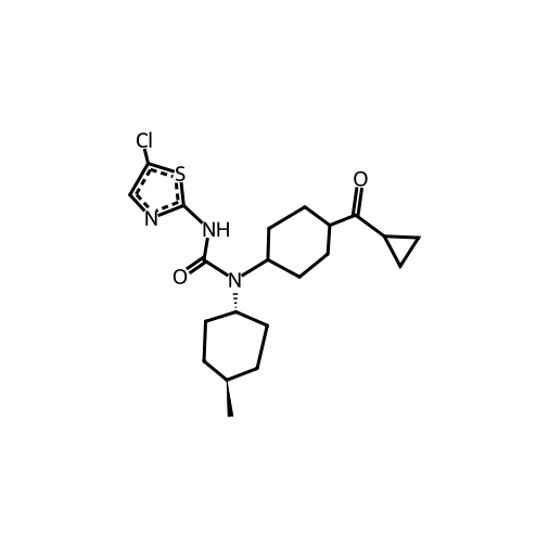 C[C@H]1CC[C@H](N(C(=O)Nc2ncc(Cl)s2)C2CCC(C(=O)C3CC3)CC2)CC1